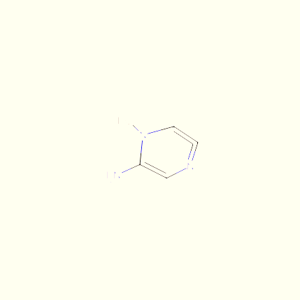 CN1C=C=NC=C1N